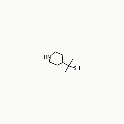 CC(C)(S)C1CCNCC1